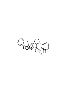 COc1ccccc1CC(=O)N1CC2(C(=O)O)Cc3ccccc3C3CCC1C32